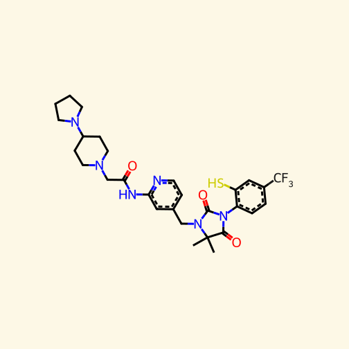 CC1(C)C(=O)N(c2ccc(C(F)(F)F)cc2S)C(=O)N1Cc1ccnc(NC(=O)CN2CCC(N3CCCC3)CC2)c1